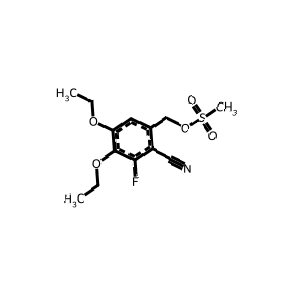 CCOc1cc(COS(C)(=O)=O)c(C#N)c(F)c1OCC